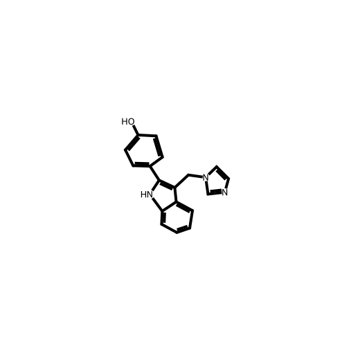 Oc1ccc(-c2[nH]c3ccccc3c2Cn2ccnc2)cc1